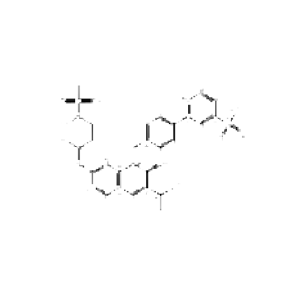 CS(=O)(=O)N1CCC(Nc2ncc3cc(C(F)F)c(=O)n(Cc4ccc(-c5cc(S(=O)(=O)Cl)ccn5)cc4)c3n2)CC1